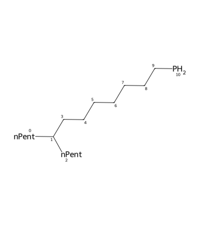 CCCCCC(CCCCC)CCCCCCCP